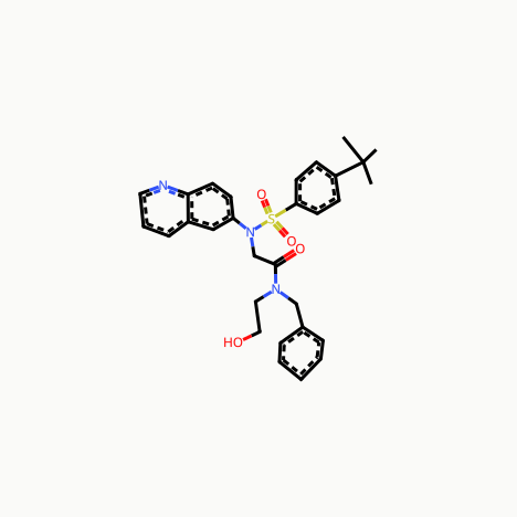 CC(C)(C)c1ccc(S(=O)(=O)N(CC(=O)N(CCO)Cc2ccccc2)c2ccc3ncccc3c2)cc1